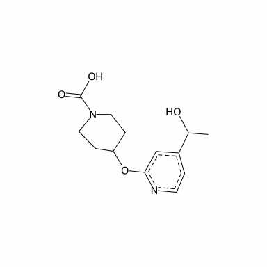 CC(O)c1ccnc(OC2CCN(C(=O)O)CC2)c1